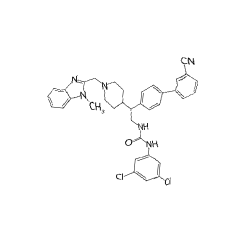 Cn1c(CN2CCC(C(CNC(=O)Nc3cc(Cl)cc(Cl)c3)c3ccc(-c4cccc(C#N)c4)cc3)CC2)nc2ccccc21